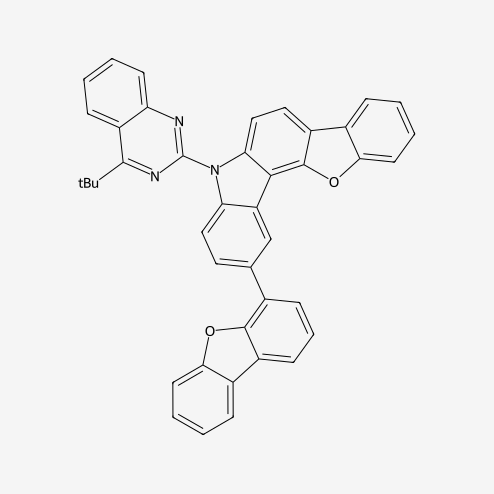 CC(C)(C)c1nc(-n2c3ccc(-c4cccc5c4oc4ccccc45)cc3c3c4oc5ccccc5c4ccc32)nc2ccccc12